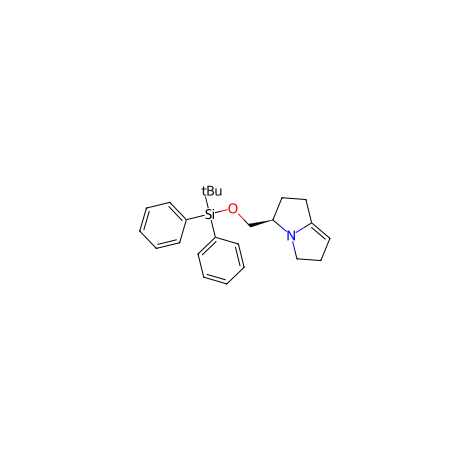 CC(C)(C)[Si](OC[C@H]1CCC2=CCCN21)(c1ccccc1)c1ccccc1